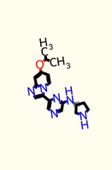 CC(C)Oc1ccn2c(-c3cncc(N[C@@H]4CCNC4)n3)cnc2c1